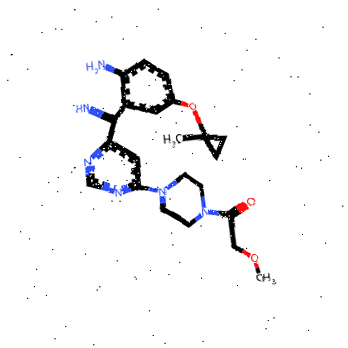 COCC(=O)N1CCN(c2cc(C(=N)c3cc(OC4(C)CC4)ccc3N)ncn2)CC1